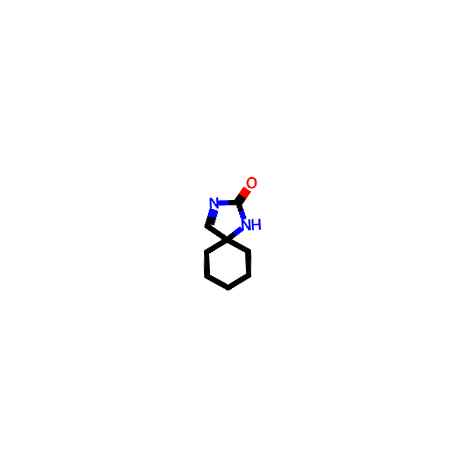 O=C1N=CC2(CCCCC2)N1